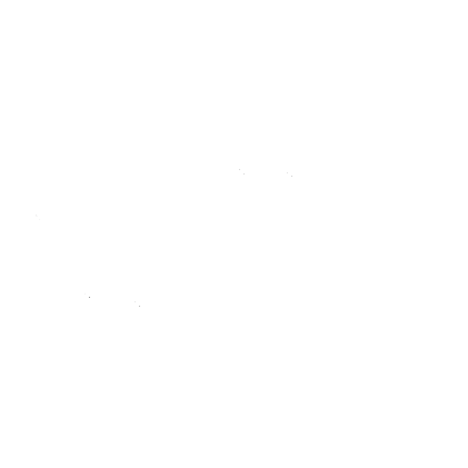 COC(=O)c1c[nH]c2nccc(Oc3ccc(NC(=O)NC(=O)Cc4ccc(F)cc4)cc3F)c12